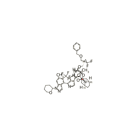 Cc1cc2c(cnn2C2CCCCO2)c(-c2nccc3c2sc2nc(OC[C@]4(COCc5ccccc5)CC4(F)F)nc(N4C[C@H]5CC[C@@H](C4)N5C(=O)OC(C)(C)C)c23)c1C(F)(F)F